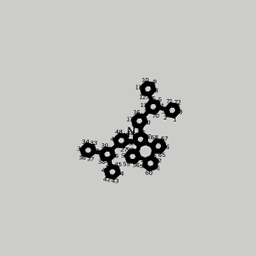 c1ccc(-c2cc(-c3ccccc3)cc(-c3ccc4c(c3)c3cc5c(c6c7cc(-c8cc(-c9ccccc9)cc(-c9ccccc9)c8)ccc7n4c36)-c3ccccc3-c3ccccc3-c3ccccc3-5)c2)cc1